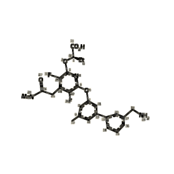 CC[C@@H](Oc1nc(Oc2cc(C)cc(-c3cccc(CN)c3)c2)c(F)c(CC(=O)NC)c1F)C(=O)O